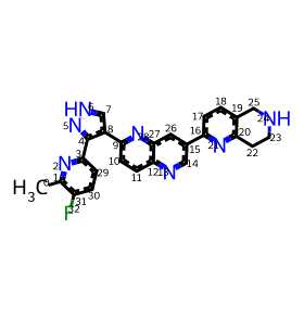 Cc1nc(-c2n[nH]cc2-c2ccc3ncc(-c4ccc5c(n4)CCNC5)cc3n2)ccc1F